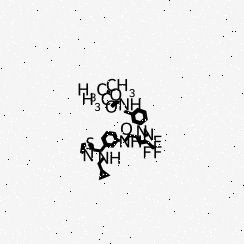 CC(C)(C)OC(=O)NCc1cccc(-n2nc(C(F)(F)F)cc2C(=O)Nc2cccc(C(NCC3CC3)c3nccs3)c2)c1